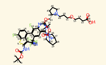 CC(C)(C)OC(=O)Nc1sc2c(F)ccc(-c3c(C(F)(F)F)cc4c(N5CC6CCC(C5)N6C(=O)OC(C)(C)C)nc(OC[C@@H]5CCCN5CCCOCCCC(=O)O)nc4c3F)c2c1C#N